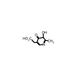 CC1=NC=C(CC(=O)O)C(=O)C1O